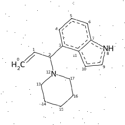 C=CC(c1cccc2[nH]ccc12)N1CCCCC1